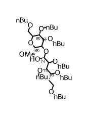 CCCCOCC[C@@H](OCCCC)[C@H](OCCCC)C(OCCCC)[C@@H](O)OC1[C@H](OC)OC(COCCCC)[C@@H](OCCCC)[C@@H]1OCCCC